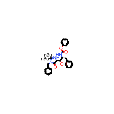 CCCCC1(CCCC)N[C@@H]([C@@H](O)[C@H](Cc2ccccc2)NC(=O)Oc2ccccc2)C(=O)N1Cc1ccccc1